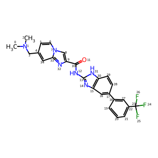 CN(C)Cc1ccn2cc(C(=O)Nc3nc4cc(-c5cccc(C(F)(F)F)c5)ccc4[nH]3)nc2c1